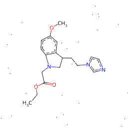 CCOC(=O)CN1CC(CCn2ccnc2)c2cc(OC)ccc21